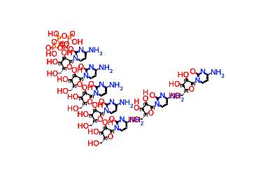 Nc1ccn([C@@H]2O[C@H](CO)[C@@H](O)[C@H]2O)c(=O)n1.Nc1ccn([C@@H]2O[C@H](CO)[C@@H](O)[C@H]2O)c(=O)n1.Nc1ccn([C@@H]2O[C@H](CO)[C@@H](O)[C@H]2O)c(=O)n1.Nc1ccn([C@@H]2O[C@H](CO)[C@@H](O)[C@H]2O)c(=O)n1.Nc1ccn([C@@H]2O[C@H](CO)[C@@H](O)[C@H]2O)c(=O)n1.Nc1ccn([C@@H]2O[C@H](CO)[C@@H](O)[C@H]2O)c(=O)n1.Nc1ccn([C@@H]2O[C@H](CO)[C@@H](O)[C@H]2O)c(=O)n1.O=P(O)(O)OP(=O)(O)OP(=O)(O)O